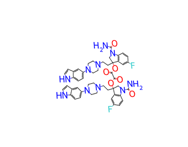 NC(=O)N1CC(CCN2CCN(c3ccc4[nH]ccc4c3)CC2)(OC(=O)C(=O)OC2(CCN3CCN(c4ccc5[nH]ccc5c4)CC3)CN(C(N)=O)c3ccc(F)cc32)c2cc(F)ccc21